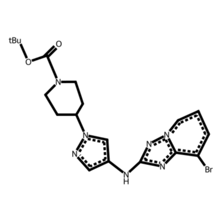 CC(C)(C)OC(=O)N1CCC(n2cc(Nc3nc4c(Br)cccn4n3)cn2)CC1